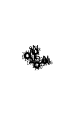 Cc1nccc(C(=O)N(c2ccccc2)C(C)c2cccc(-c3cnn(C)c3)c2)n1